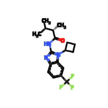 CC(C)[C@H](C)C(=O)Nc1nc2ccc(C(F)(F)F)cc2n1C1CCC1